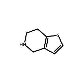 [CH]1Cc2sccc2CN1